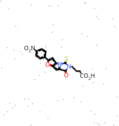 O=C(O)CCCN1C(=O)c2cc3oc(-c4ccc([N+](=O)[O-])cc4)cc3n2C1=S